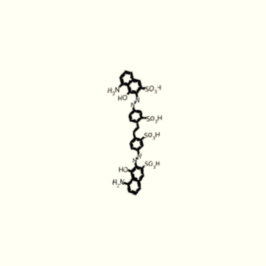 Nc1cccc2cc(S(=O)(=O)O)c(N=Nc3ccc(/C=C/c4ccc(N=Nc5c(S(=O)(=O)O)cc6cccc(N)c6c5O)cc4S(=O)(=O)O)c(S(=O)(=O)O)c3)c(O)c12